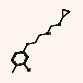 Cc1ccc(SCCNCOC2CC2)cc1Cl